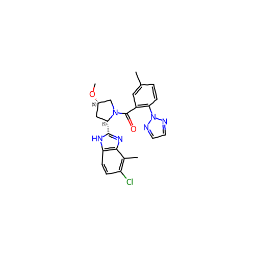 CO[C@H]1C[C@@H](c2nc3c(C)c(Cl)ccc3[nH]2)N(C(=O)c2cc(C)ccc2-n2nccn2)C1